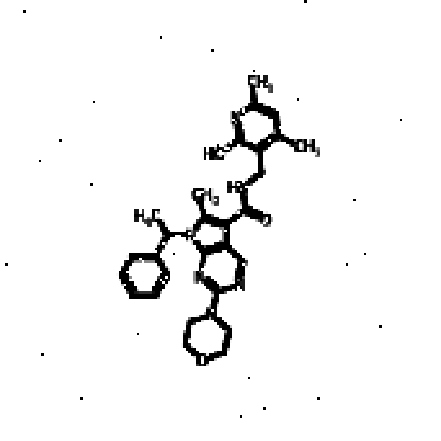 Cc1cc(C)c(CNC(=O)c2c(C)n(C(C)c3ccccc3)c3nc(N4CCOCC4)ncc23)c(O)n1